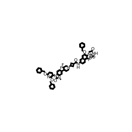 Cn1c(=O)n(-c2ccc(OCc3ccccc3)nc2OCc2ccccc2)c2ccc(C3=CCN(C4CC(C(=O)Nc5ccc6c(F)c(N7CC(=O)NS7(=O)=O)c(OCc7ccccc7)cc6c5)C4)CC3(F)F)cc21